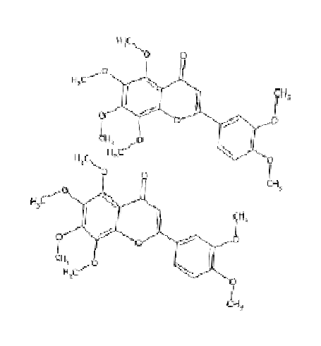 COc1ccc(-c2cc(=O)c3c(OC)c(OC)c(OC)c(OC)c3o2)cc1OC.COc1ccc(-c2cc(=O)c3c(OC)c(OC)c(OC)c(OC)c3o2)cc1OC